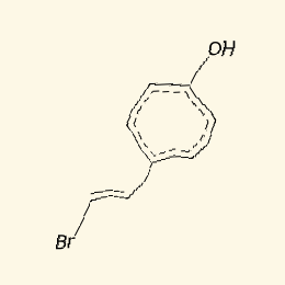 Oc1ccc(C=CBr)cc1